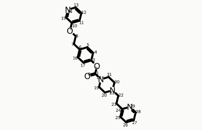 O=C(Oc1ccc(CCOc2cccnc2)cc1)N1CCN(CCc2ccccn2)CC1